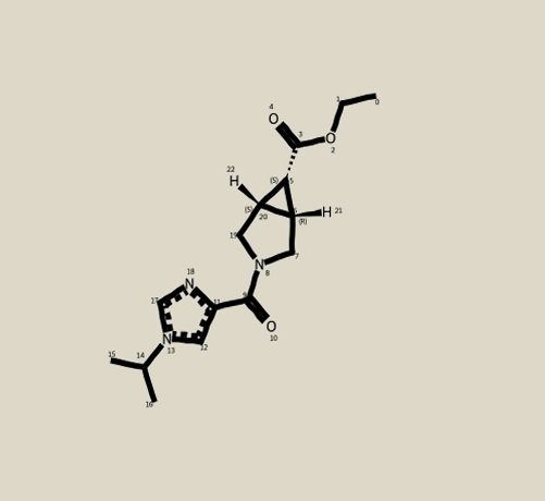 CCOC(=O)[C@@H]1[C@@H]2CN(C(=O)c3cn(C(C)C)cn3)C[C@@H]21